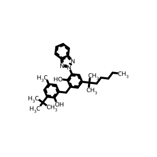 CCCCCC(C)(C)c1cc(Cc2cc(C)cc(C(C)(C)C)c2O)c(O)c(-n2nc3ccccc3n2)c1